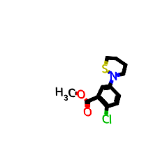 COC(=O)c1cc(N2CCCCS2)ccc1Cl